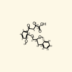 COc1cccc(C(=O)CC(=O)C(=O)O)c1OCC(Cc1ccccc1)OC